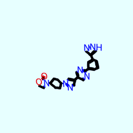 O=C1OCCN1[C@H]1CC[C@H](n2cc(-c3cnc(-c4cccc(-c5cn[nH]c5)c4)nc3)cn2)CC1